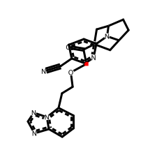 N#Cc1ccc(N2C3CCC2CN(C(=O)COCCc2cccc4ncnn24)C3)nc1